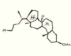 CC(=O)O[C@H]1CC[C@@]2(C)C(CC[C@H]3[C@@H]4CC[C@H]([C@H](C)CCCC(C)C)[C@@]4(C)CC[C@@H]32)C1